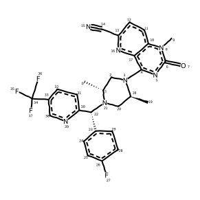 C[C@@H]1CN(c2nc(=O)n(C)c3ccc(C#N)nc23)[C@@H](C)CN1[C@H](c1ccc(F)cc1)c1ccc(C(F)(F)F)cn1